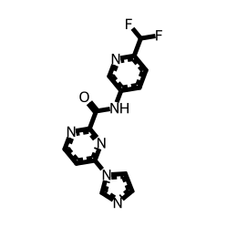 O=C(Nc1ccc(C(F)F)nc1)c1nccc(-n2ccnc2)n1